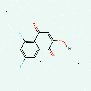 CC(C)OC1=CC(=O)c2c(F)cc(F)cc2C1=O